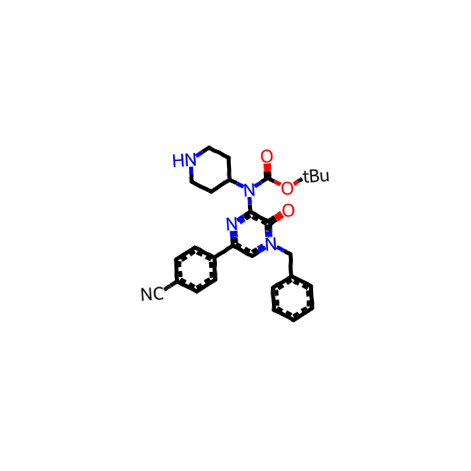 CC(C)(C)OC(=O)N(c1nc(-c2ccc(C#N)cc2)cn(Cc2ccccc2)c1=O)C1CCNCC1